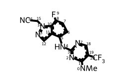 CNc1nc(Nc2ccc(F)c3c2cnn3CC#N)ncc1C(F)(F)F